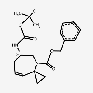 CC(C)(C)OC(=O)N[C@H]1CC=CC2(CC2)N(C(=O)OCc2ccccc2)C1